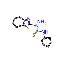 NN(C(=S)Nc1ccccc1)c1nc2ccccc2s1